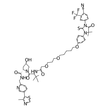 Cc1ncsc1-c1ccc(CNC(=O)[C@@H]2C[C@@H](O)CN2C(=O)[C@@H](NC(=O)COCCCOCCCCCOc2ccc(N3C(=S)N(c4ccc(C#N)c(C(F)(F)F)c4)C(=O)C3(C)C)cc2)C(C)(C)C)nc1